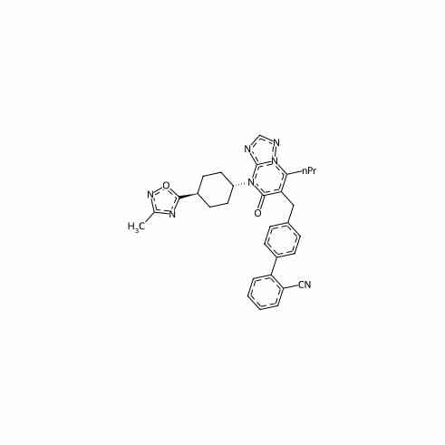 CCCc1c(Cc2ccc(-c3ccccc3C#N)cc2)c(=O)n([C@H]2CC[C@H](c3nc(C)no3)CC2)c2ncnn12